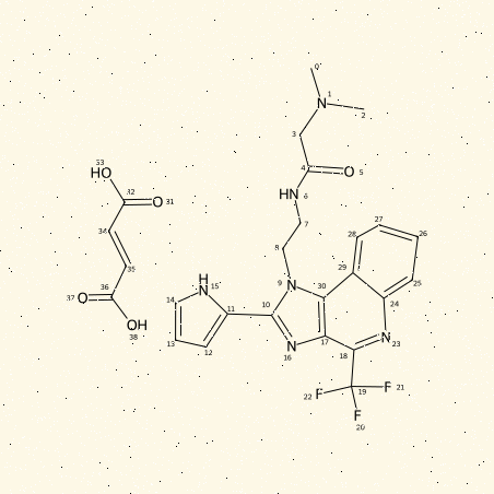 CN(C)CC(=O)NCCn1c(-c2ccc[nH]2)nc2c(C(F)(F)F)nc3ccccc3c21.O=C(O)C=CC(=O)O